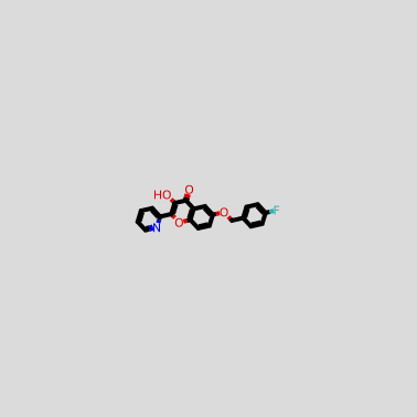 O=c1c(O)c(-c2ccccn2)oc2ccc(OCc3ccc(F)cc3)cc12